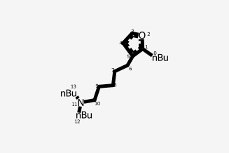 [CH2]CCCc1occc1CCCCCN(CCCC)CCCC